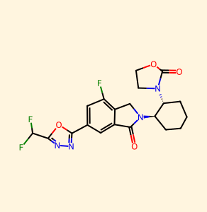 O=C1OCCN1[C@@H]1CCCC[C@H]1N1Cc2c(F)cc(-c3nnc(C(F)F)o3)cc2C1=O